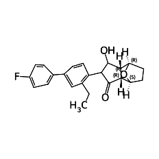 CCc1cc(-c2ccc(F)cc2)ccc1C1C(=O)[C@@H]2[C@H](C1O)[C@H]1CC[C@@H]2O1